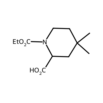 CCOC(=O)N1CCC(C)(C)CC1C(=O)O